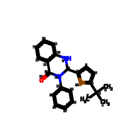 CC(C)(C)c1ccc(C2Nc3ccccc3C(=O)N2c2ccccc2)s1